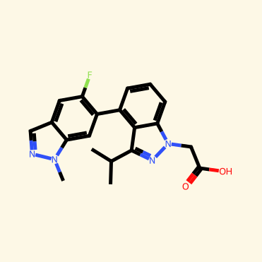 CC(C)c1nn(CC(=O)O)c2cccc(-c3cc4c(cnn4C)cc3F)c12